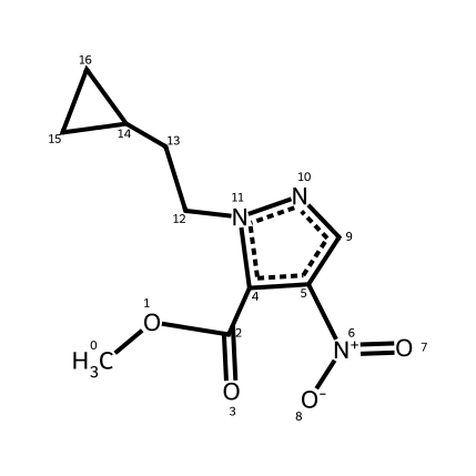 COC(=O)c1c([N+](=O)[O-])cnn1CCC1CC1